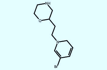 BrC1=CN(CCC2CNCCO2)CC=C1